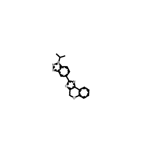 CC(C)n1nnc2cc(-c3nc4c(o3)COc3ccccc3-4)ccc21